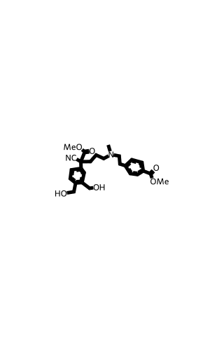 COC(=O)c1ccc(CCN(C)CCCC(C#N)(C(=O)OC)c2ccc(CO)c(CO)c2)cc1